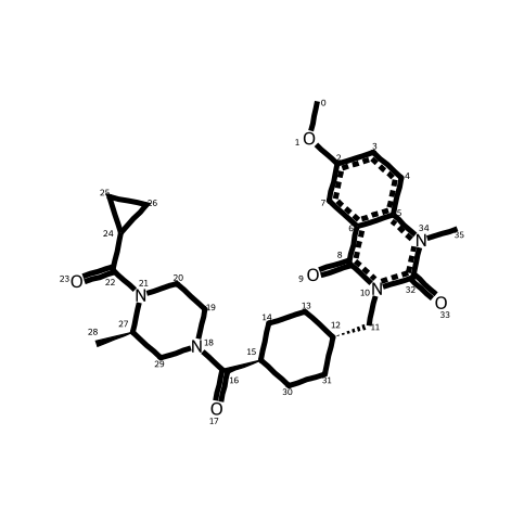 COc1ccc2c(c1)c(=O)n(C[C@H]1CC[C@H](C(=O)N3CCN(C(=O)C4CC4)[C@H](C)C3)CC1)c(=O)n2C